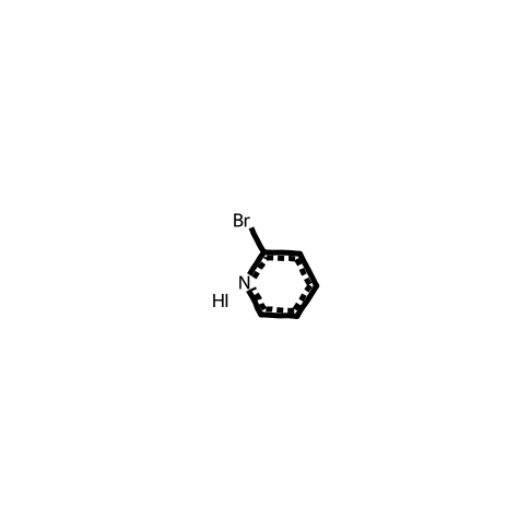 Brc1ccccn1.I